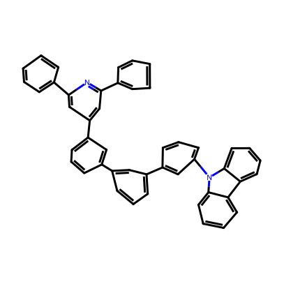 c1ccc(-c2cc(-c3cccc(-c4cccc(-c5cccc(-n6c7ccccc7c7ccccc76)c5)c4)c3)cc(-c3ccccc3)n2)cc1